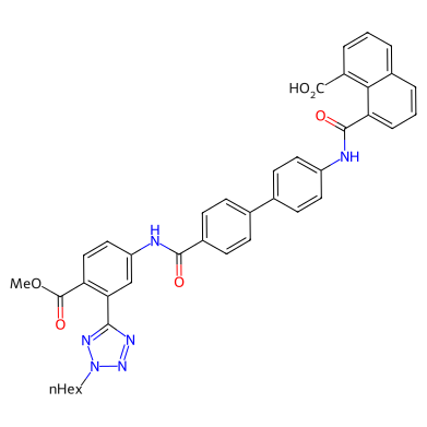 CCCCCCn1nnc(-c2cc(NC(=O)c3ccc(-c4ccc(NC(=O)c5cccc6cccc(C(=O)O)c56)cc4)cc3)ccc2C(=O)OC)n1